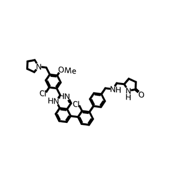 COc1cc(CNc2cccc(-c3cccc(-c4ccc(CNCC5CCC(=O)N5)cc4)c3Cl)c2C=N)c(Cl)cc1CN1CCCC1